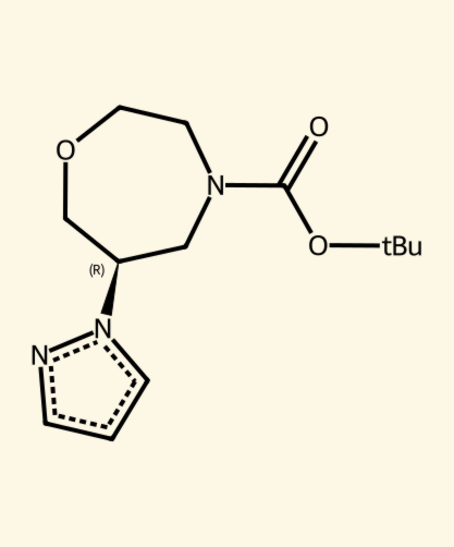 CC(C)(C)OC(=O)N1CCOC[C@H](n2cccn2)C1